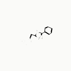 CCOC(=O)/C=C\c1nnc(-c2ccccc2)[nH]1